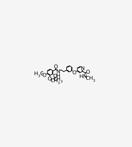 CNC(=O)c1cc(Oc2cccc(CCNC(=O)c3ccc(OC)c(OC)c3OC)c2)ccn1